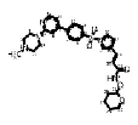 CN1CCN(c2cc(-c3ccc(S(=O)(=O)n4ccc(C=CC(=O)NOC5CCCCO5)c4)cc3)ccn2)CC1